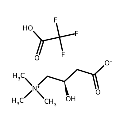 C[N+](C)(C)C[C@H](O)CC(=O)[O-].O=C(O)C(F)(F)F